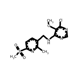 COc1c(Cl)ncnc1NCc1ccc(S(C)(=O)=O)nc1C